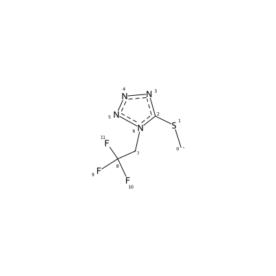 [CH2]Sc1nnnn1CC(F)(F)F